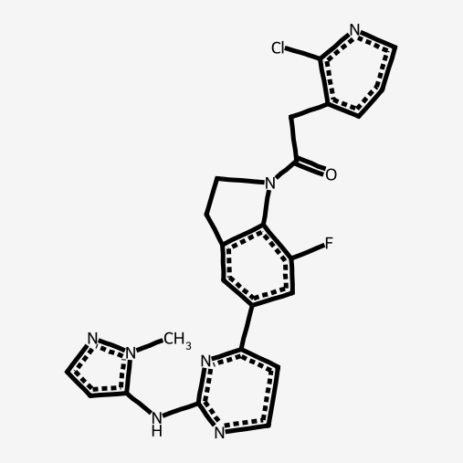 Cn1nccc1Nc1nccc(-c2cc(F)c3c(c2)CCN3C(=O)Cc2cccnc2Cl)n1